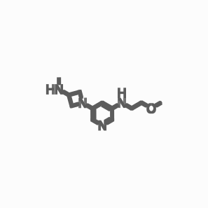 CNC1CN(c2cncc(NCCOC)c2)C1